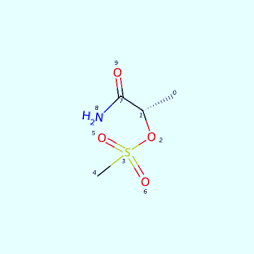 C[C@H](OS(C)(=O)=O)C(N)=O